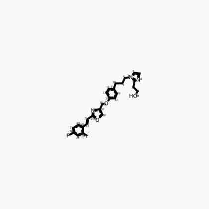 OCCc1nccn1CCCc1ccc(OCc2coc(/C=C/c3ccc(F)cc3F)n2)cc1